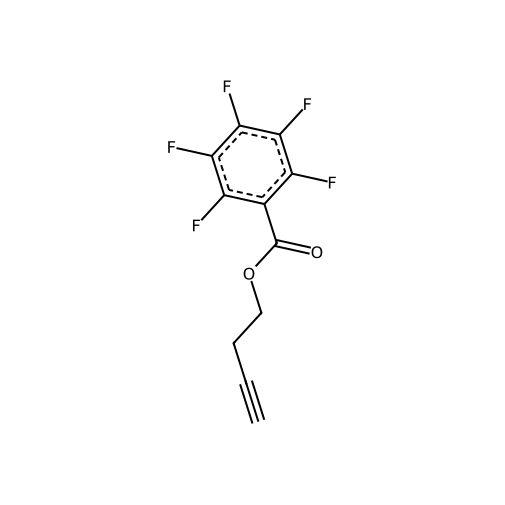 C#CCCOC(=O)c1c(F)c(F)c(F)c(F)c1F